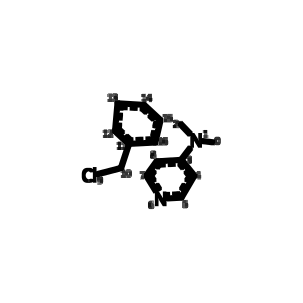 CN(C)c1ccncc1.ClCc1ccccc1